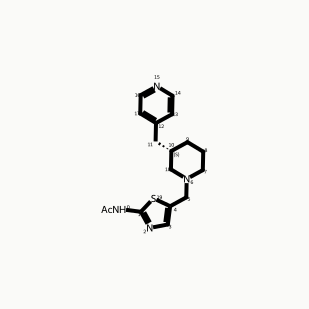 CC(=O)Nc1ncc(CN2CCC[C@@H](Cc3ccncc3)C2)s1